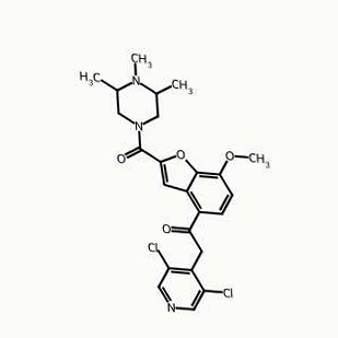 COc1ccc(C(=O)Cc2c(Cl)cncc2Cl)c2cc(C(=O)N3CC(C)N(C)C(C)C3)oc12